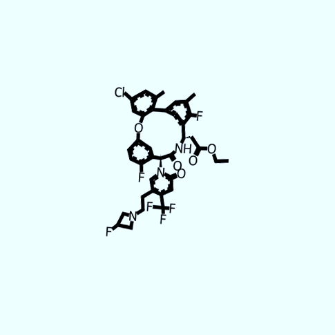 CCOC(=O)C[C@@H]1NC(=O)[C@@H](n2cc(CCN3CC(F)C3)c(C(F)(F)F)cc2=O)c2cc(ccc2F)Oc2cc(Cl)cc(C)c2-c2cc(C)c(F)c1c2